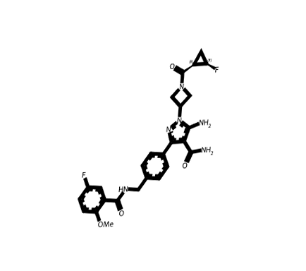 COc1ccc(F)cc1C(=O)NCc1ccc(-c2nn(C3CN(C(=O)[C@H]4C[C@H]4F)C3)c(N)c2C(N)=O)cc1